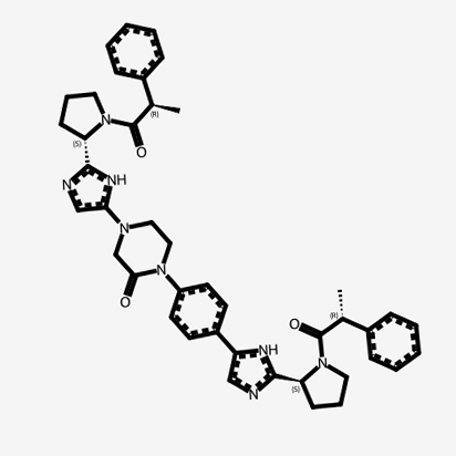 C[C@@H](C(=O)N1CCC[C@H]1c1ncc(-c2ccc(N3CCN(c4cnc([C@@H]5CCCN5C(=O)[C@H](C)c5ccccc5)[nH]4)CC3=O)cc2)[nH]1)c1ccccc1